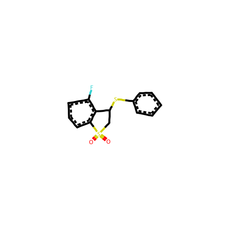 O=S1(=O)CC(Sc2ccccc2)c2c(F)cccc21